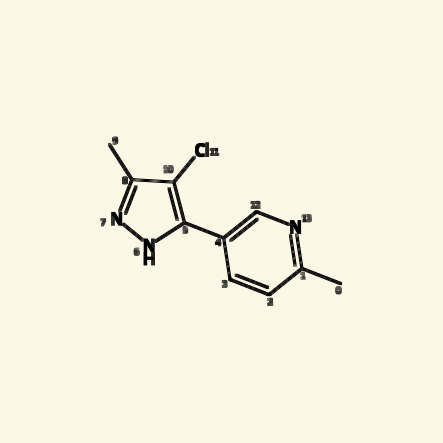 Cc1ccc(-c2[nH]nc(C)c2Cl)cn1